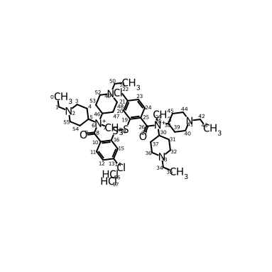 CCN1CCC([N+](C)(C(=O)c2ccc(Cl)cc2SSc2cc(Cl)ccc2C(=O)[N+](C)(C2CCN(CC)CC2)C2CCN(CC)CC2)C2CCN(CC)CC2)CC1.Cl.Cl